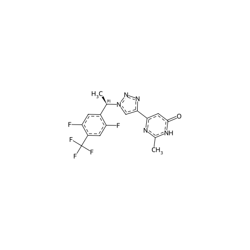 Cc1nc(-c2cn([C@H](C)c3cc(F)c(C(F)(F)F)cc3F)nn2)cc(=O)[nH]1